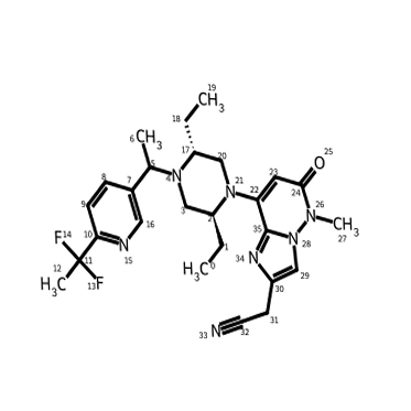 CC[C@H]1CN(C(C)c2ccc(C(C)(F)F)nc2)[C@H](CC)CN1c1cc(=O)n(C)n2cc(CC#N)nc12